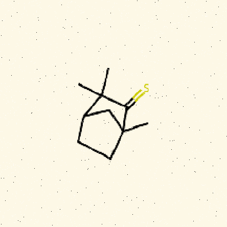 CC12CCC(C1)C(C)(C)C2=S